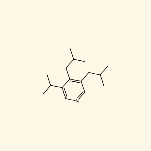 CC(C)Cc1cncc(C(C)C)c1CC(C)C